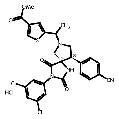 COC(=O)c1csc(C(C)N2C[C@@H](c3ccc(C#N)cc3)[C@@]3(C2)NC(=O)N(c2cc(Cl)cc(Cl)c2)C3=O)c1.Cl